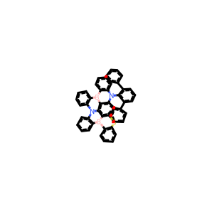 c1ccc(-c2cccc(-c3ccccc3)c2N2c3ccccc3B3c4ccccc4N4c5ccccc5B5c6ccccc6Sc6cc2c3c4c65)cc1